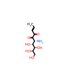 CC=CC(=O)C(=O)[C@H](N)[C@@H](O)[C@@H](O)[C@H](O)CO